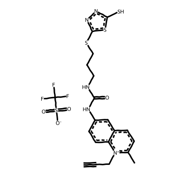 C#CC[n+]1c(C)ccc2cc(NC(=O)NCCCSc3nnc(S)s3)ccc21.O=S(=O)([O-])C(F)(F)F